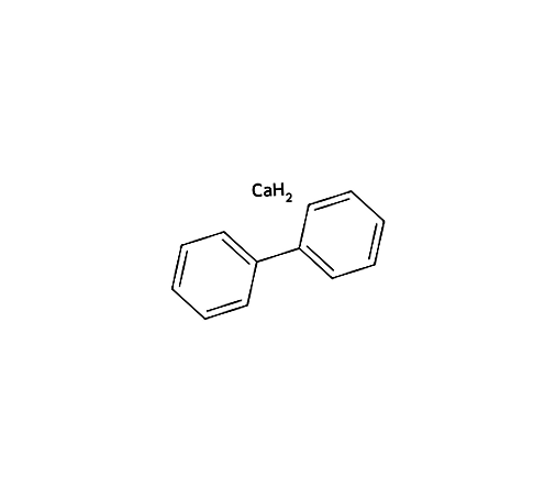 [CaH2].c1ccc(-c2ccccc2)cc1